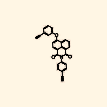 C#Cc1ccc(N2C(=O)c3cccc4c(Oc5cccc(C#C)c5)ccc(c34)C2=O)cc1